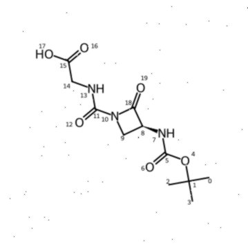 CC(C)(C)OC(=O)N[C@H]1CN(C(=O)NCC(=O)O)C1=O